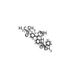 CCN(CC)C(=O)c1ccc(C(=C2CCNCC2)c2cccc(NC(=O)N(C)c3ccccc3)c2)cc1